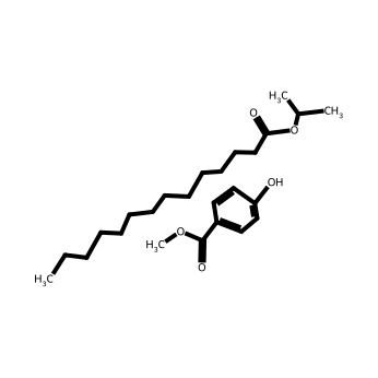 CCCCCCCCCCCCCC(=O)OC(C)C.COC(=O)c1ccc(O)cc1